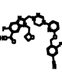 N#Cc1ccc(COc2cccc(N3C=NN(Cc4nc5cc(F)c(C(=O)O)cc5n4CC4CCO4)CC3)n2)c(F)c1